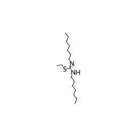 CCCCCCC/N=C(/NCCCCCCC)SCC